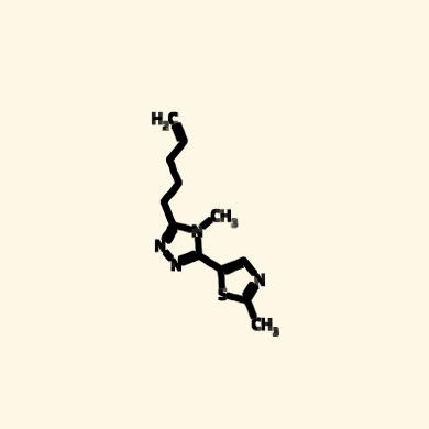 C=CCCCc1nnc(-c2cnc(C)s2)n1C